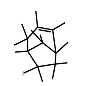 CC1=C(C)C2(C)C(C)(C)C(C)(I)C(C)(C1(C)C)C2(C)C